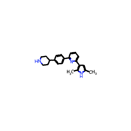 Cc1cc(-c2cccc(-c3ccc(C4CCNCC4)cc3)n2)c(C)[nH]1